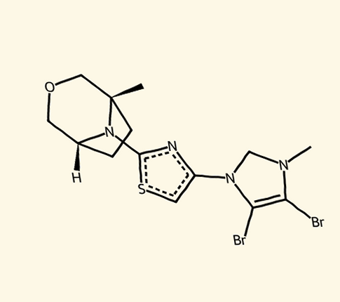 CN1CN(c2csc(N3[C@@H]4CC[C@@]3(C)COC4)n2)C(Br)=C1Br